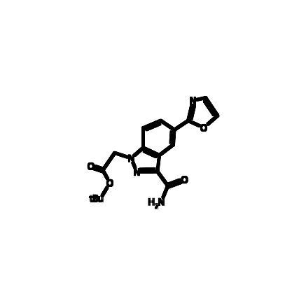 CC(C)(C)OC(=O)Cn1nc(C(N)=O)c2cc(-c3ncco3)ccc21